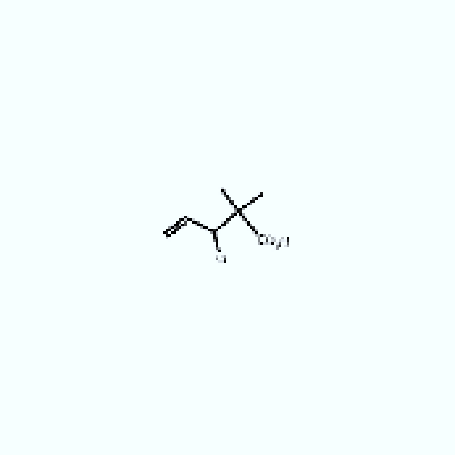 C=CC(Cl)C(C)(C)C(=O)O